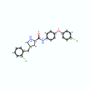 O=C(Nc1ccc(Oc2ccc(F)cc2)cc1)[C@H]1C[C@@H](Cc2ccccc2F)CN1